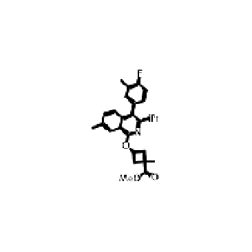 COC(=O)C1(C)CC(Oc2nc(C(C)C)c(-c3ccc(F)c(C)c3)c3ccc(C)cc23)C1